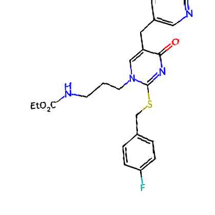 CCOC(=O)NCCCn1cc(Cc2cncnc2)c(=O)nc1SCc1ccc(F)cc1